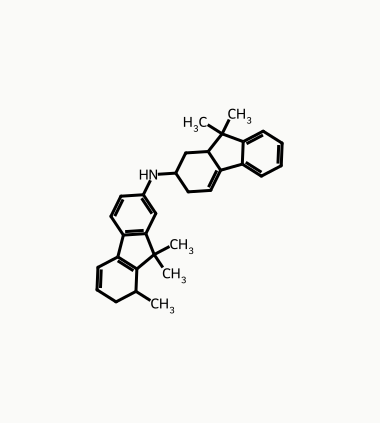 CC1CC=CC2=C1C(C)(C)c1cc(NC3CC=C4c5ccccc5C(C)(C)C4C3)ccc12